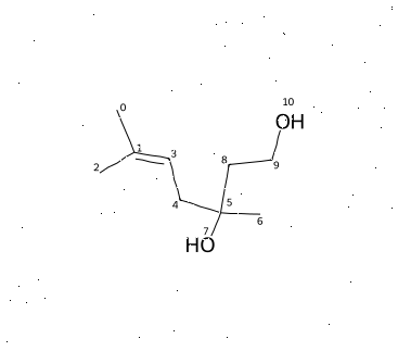 CC(C)=CCC(C)(O)CCO